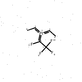 C[CH]=[Pt](=[CH]C)=[C](F)C(F)(F)F